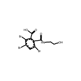 O=C(NCCO)c1c(Br)cc(Br)c(Br)c1C(=O)O